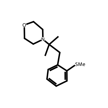 CSc1ccccc1CC(C)(C)N1CCOCC1